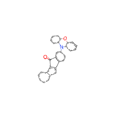 O=C1c2cc(N3c4ccccc4Oc4ccccc43)ccc2-c2cc3cccccc-3c21